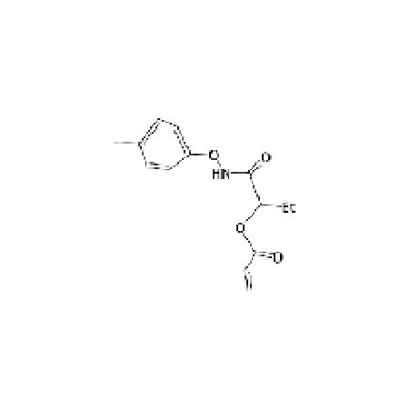 C=CC(=O)OC(CC)C(=O)NOc1ccc(C)cc1